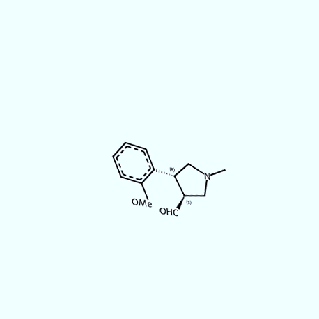 COc1ccccc1[C@@H]1CN(C)C[C@H]1C=O